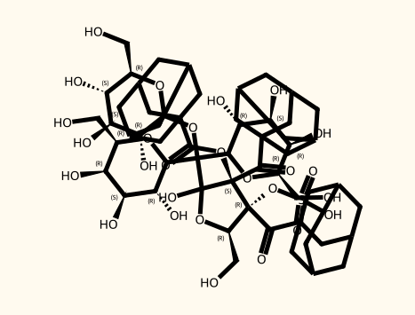 O=C(O[C@]1(C(=O)C23CC4CC(CC(C4)C2)C3)C(O)(C(OC2O[C@H](CO)[C@@H](O)[C@H](O)[C@H]2O)(C2O[C@H](CO)[C@H](O)[C@H](O)[C@H]2O)C2O[C@H](CO)[C@H](O)[C@H](O)[C@H]2O)O[C@H](CO)[C@]1(OS(=O)(=O)O)C(=O)C12CC3CC(CC(C3)C1)C2)C12CC3CC(CC(C3)C1)C2